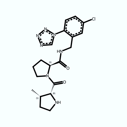 C[C@H]1CCN[C@H]1C(=O)N1CCC[C@H]1C(=O)NCc1cc(Cl)ccc1-n1cnnn1